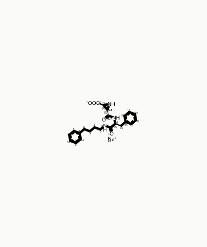 O=C(NCCCCc1ccccc1)[C@H](Cc1ccccc1)NC(=O)[C@H]1N[C@@H]1C(=O)[O-].[Na+]